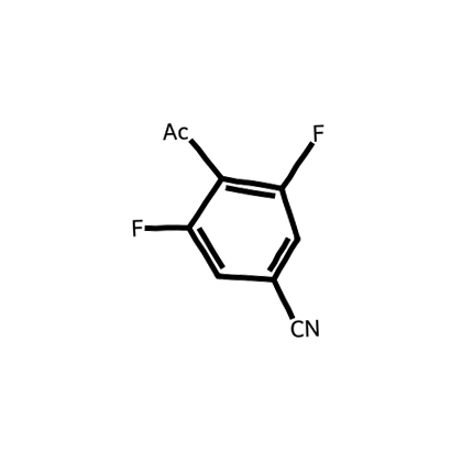 CC(=O)c1c(F)cc(C#N)cc1F